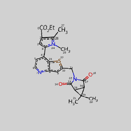 CCOC(=O)c1cc(-c2ccnc3cc(CN4C(=O)C5C(C4=O)C5(C)C)sc23)n(C)c1C